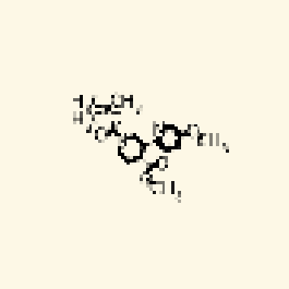 COC(=O)[C@@H]1CCN(C(=O)OC(C)(C)C)C[C@H]1c1ccc(OC)cn1